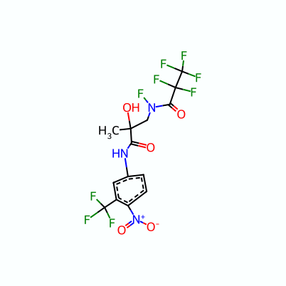 CC(O)(CN(F)C(=O)C(F)(F)C(F)(F)F)C(=O)Nc1ccc([N+](=O)[O-])c(C(F)(F)F)c1